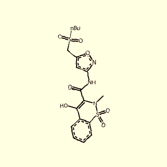 CCCCS(=O)(=O)Cc1cc(NC(=O)C2=C(O)c3ccccc3S(=O)(=O)N2C)no1